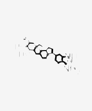 CN(C)[C@H]1C[C@@]23CC[C@@]4(O2)C(=CC[C@]2(C)C(c5ccc6c(N)n[nH]c6c5)=CCC24)C=C3[C@@H](O)[C@@H]1O